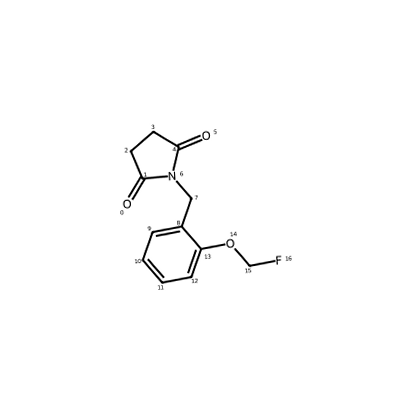 O=C1CCC(=O)N1Cc1ccccc1OCF